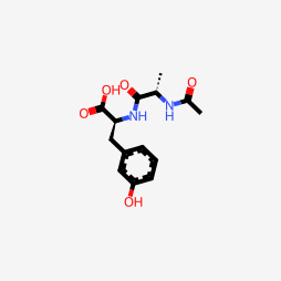 CC(=O)N[C@@H](C)C(=O)N[C@@H](Cc1cccc(O)c1)C(=O)O